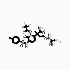 Cc1ccc(S(=O)(=O)Nc2ccc(C(C)(CCONC(=N)N)C(N)=O)n(OC(=O)C(F)(F)F)c2=O)cc1